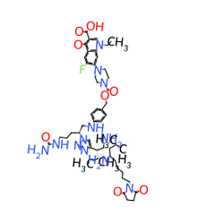 CCn1cc(C(=O)O)c(=O)c2cc(F)c(N3CCN(C(=O)OCc4ccc(NC[C@H](CCCNC(N)=O)n5cc([C@@H](C(C)C)C(N)[C@H](C(C)C)C(N)CCCCCN6C(=O)CCC6=O)nn5)cc4)CC3)cc21